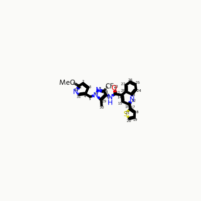 COc1ccc(Cn2nc(C(F)(F)F)c(NC(=O)c3cc(-c4cccs4)nc4ccccc34)c2C)cn1